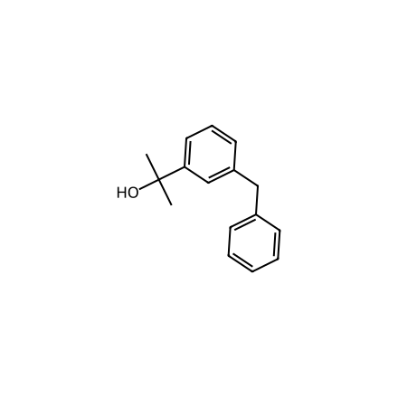 CC(C)(O)c1cccc(Cc2ccccc2)c1